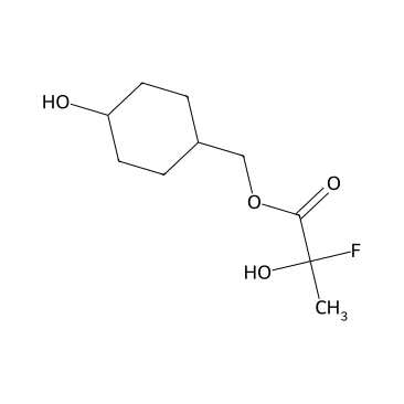 CC(O)(F)C(=O)OCC1CCC(O)CC1